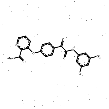 CNC(=O)c1ncccc1Oc1ccc(C(=O)C(=O)Nc2cc(C(F)(F)F)cc(C(F)(F)F)c2)cc1